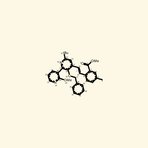 COC(=O)c1cc(C)ccc1/C=C/c1cc(C(C)(C)C)nc(-c2cccnc2OC)c1OCc1ccccc1